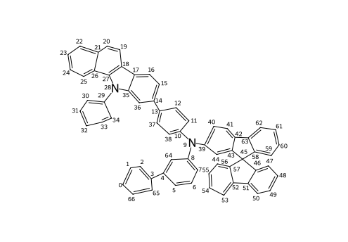 c1ccc(-c2cccc(N(c3ccc(-c4ccc5c6ccc7ccccc7c6n(-c6ccccc6)c5c4)cc3)c3ccc4c(c3)C3(c5ccccc5-c5ccccc53)c3ccccc3-4)c2)cc1